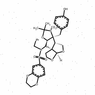 CC(C)CN(C[C@H]1OC(C)(C)N(C(=O)O)[C@@]1(Cc1ccc(O)cc1)[C@@H]1CO[C@H]2OCC[C@H]21)S(=O)(=O)c1ccc2c(c1)OCCO2